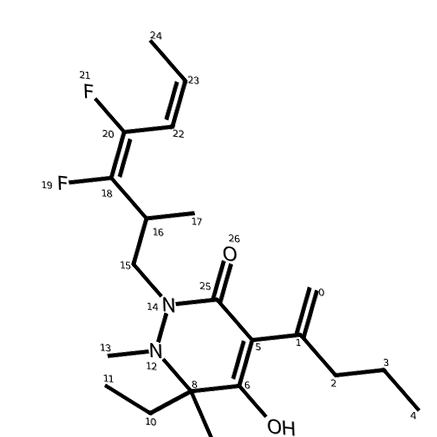 C=C(CCC)C1=C(O)C(C)(CC)N(C)N(CC(C)/C(F)=C(F)\C=C/C)C1=O